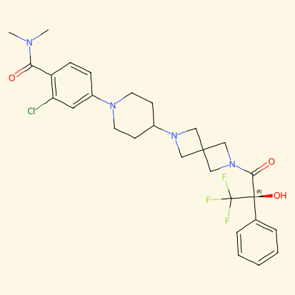 CN(C)C(=O)c1ccc(N2CCC(N3CC4(CN(C(=O)[C@](O)(c5ccccc5)C(F)(F)F)C4)C3)CC2)cc1Cl